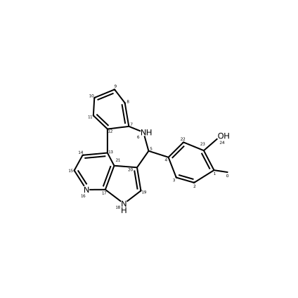 Cc1ccc(C2Nc3ccccc3-c3ccnc4[nH]cc2c34)cc1O